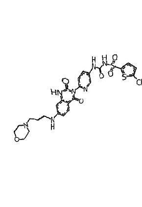 O=C(Nc1ccc(-n2c(=O)[nH]c3cc(NCCCN4CCOCC4)ccc3c2=O)nc1)NS(=O)(=O)c1ccc(Cl)s1